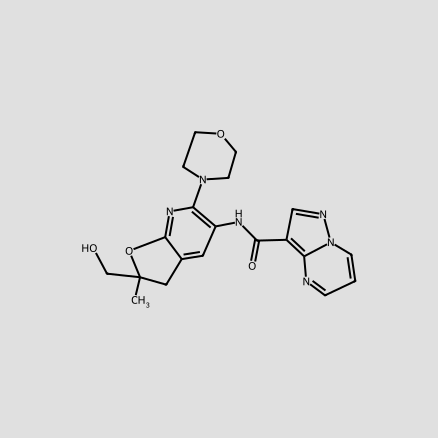 CC1(CO)Cc2cc(NC(=O)c3cnn4cccnc34)c(N3CCOCC3)nc2O1